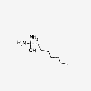 CCCCCC[CH]C(N)(N)O